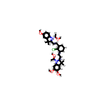 COc1ccc2c(c1)C(C)(C)C(/C=C/C1=C(Cl)C(=C/C=C3\N(C(C)OC)c4cc(OC)c(OC)cc4C3(C)C)/CCC1)=[N+]2C(C)OC